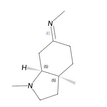 C/N=C1\CC[C@@]2(C)CCN(C)[C@H]2C1